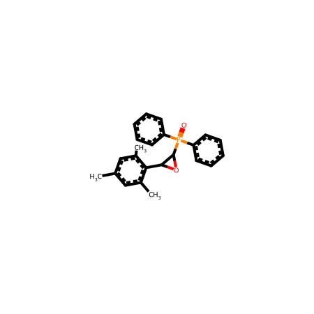 Cc1cc(C)c(C2OC2P(=O)(c2ccccc2)c2ccccc2)c(C)c1